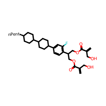 C=C(CO)C(=O)OCC(COC(=O)C(=C)CO)c1ccc(C2CCC(C3CCC(CCCCC)CC3)CC2)cc1F